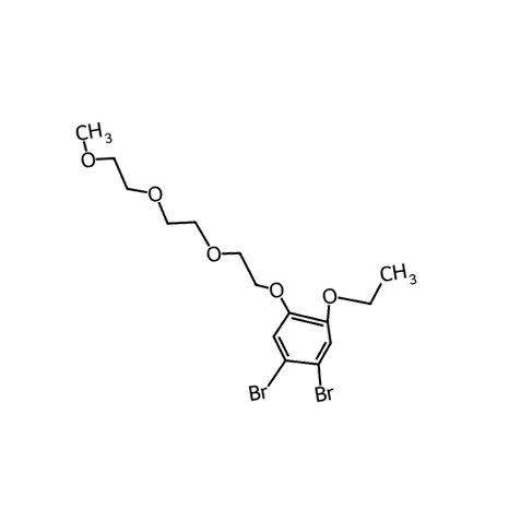 CCOc1cc(Br)c(Br)cc1OCCOCCOCCOC